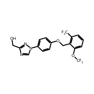 OCc1ncn(-c2ccc(OCc3c(OC(F)(F)F)cccc3C(F)(F)F)cc2)n1